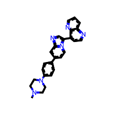 CN1CCN(c2ccc(-c3ccn4c(-c5ccnc6cccnc56)cnc4c3)cc2)CC1